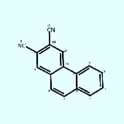 N#Cc1cc2ccc3ccccc3c2cc1C#N